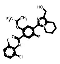 C[C@H](Oc1cc(-c2nc(CO)c3n2CCCC3)c(F)cc1C(=O)Nc1c(F)cccc1Cl)C(F)(F)F